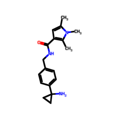 Cc1cc(C(=O)NCc2ccc(C3(N)CC3)cc2)c(C)n1C